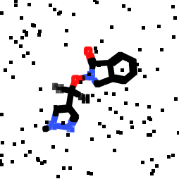 [2H]C([2H])(ON1Cc2ccccc2C1=O)c1cnn(C)c1